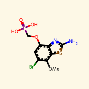 COc1c(Br)cc(OCP(=O)(O)O)c2nc(N)sc12